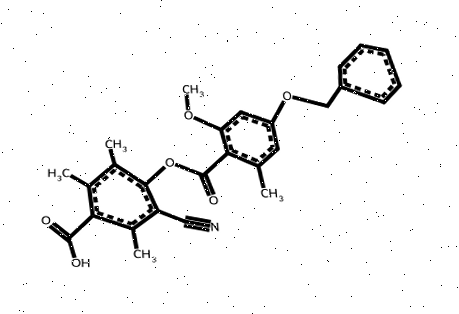 COc1cc(OCc2ccccc2)cc(C)c1C(=O)Oc1c(C)c(C)c(C(=O)O)c(C)c1C#N